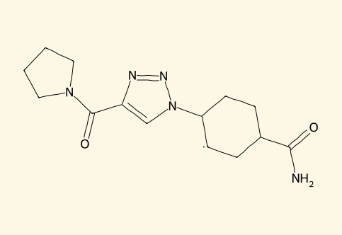 NC(=O)C1C[CH]C(n2cc(C(=O)N3CCCC3)nn2)CC1